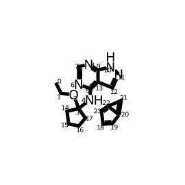 CCOC1(Nc2ncnc3[nH]ncc23)CCCC1.c1cc2cc-2c1